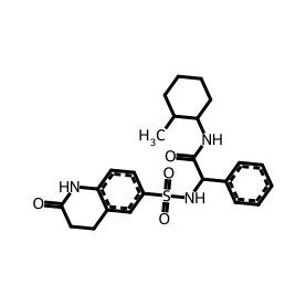 CC1CCCCC1NC(=O)C(NS(=O)(=O)c1ccc2c(c1)CCC(=O)N2)c1ccccc1